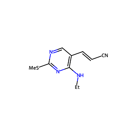 CCNc1nc(SC)ncc1/C=C/C#N